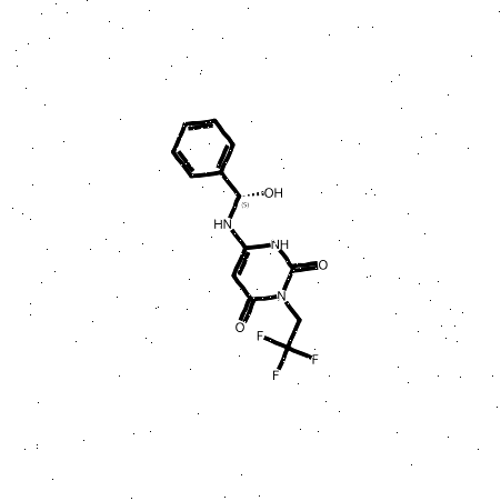 O=c1cc(N[C@@H](O)c2ccccc2)[nH]c(=O)n1CC(F)(F)F